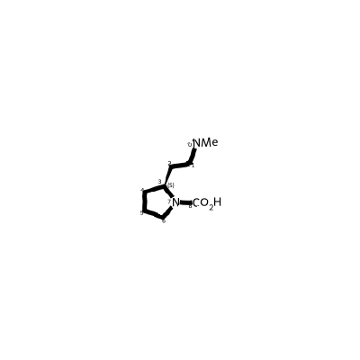 CNCC[C@@H]1CCCN1C(=O)O